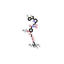 COc1cc(C(=O)NCC(O)c2cccc(-c3csc4c(F)cccc34)n2)ccc1OCCOCOCC[Si](C)(C)C